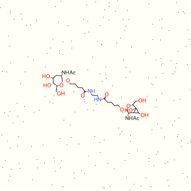 CC(=O)NC1CC(O)[C@@H](O)C(CO)O[C@H]1OCCCCC(=O)NCCNC(=O)CCCCO[C@@H]1OC(CO)C2(O)C(O)C2C1NC(C)=O